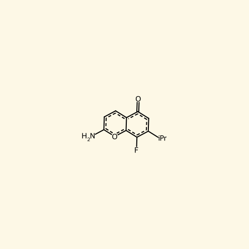 CC(C)c1cc(=O)c2ccc(N)oc-2c1F